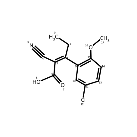 CCC(=C(C#N)C(=O)O)c1cc(Cl)ccc1OC